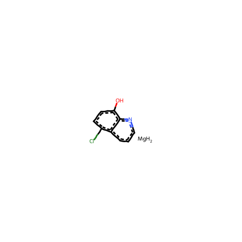 Oc1ccc(Cl)c2cccnc12.[MgH2]